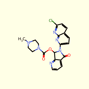 CN1CCN(C(=O)OC2c3ncccc3C(=O)N2c2ccc3ccc(Cl)nc3n2)CC1